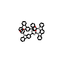 c1ccc(-c2nc(-c3ccc4c5ccccc5n(-c5ccccc5)c4c3)nc(-n3c4ccccc4c4ccc5c6ccccc6n(-c6ccc(-c7ccc8c9ccccc9c9ccccc9c8c7)cc6)c5c43)n2)cc1